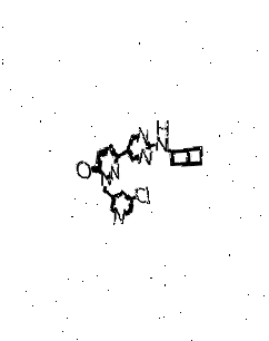 O=c1ccc(-c2cnc(NC3CC4CCC43)nc2)nn1Cc1cncc(Cl)c1